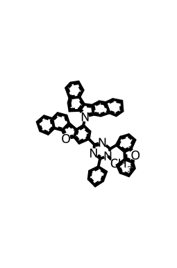 CN1C(c2ccccc2)=NC(c2cc(-n3c4cc5ccccc5cc4c4c5ccccc5ccc43)c3c(c2)oc2c4ccccc4ccc23)=NC1c1cccc2oc3ccccc3c12